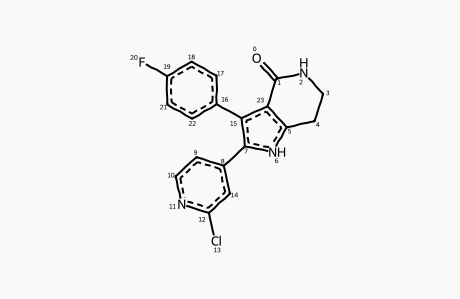 O=C1NCCc2[nH]c(-c3ccnc(Cl)c3)c(-c3ccc(F)cc3)c21